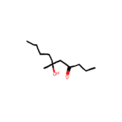 CCCCC(C)(O)[CH]C(=O)CCC